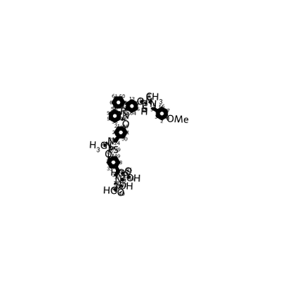 COc1ccc(C=NN(C)[PH](=S)Oc2ccc(P(=NCOc3ccc(C=NN(C)[PH](=S)Oc4ccc(CCN(CP(=O)(O)O)CP(=O)(O)O)cc4)cc3)(c3ccccc3)c3ccccc3)cc2)cc1